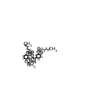 CCCCCS(=O)(=O)Oc1cccc(NC(=O)N(NC(N)=O)c2ccccc2OS(=O)(=O)CCCCC)c1